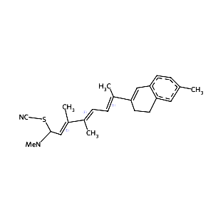 CNC(/C=C(C)/C(C)=C/C=C(\C)C1=Cc2ccc(C)cc2CC1)SC#N